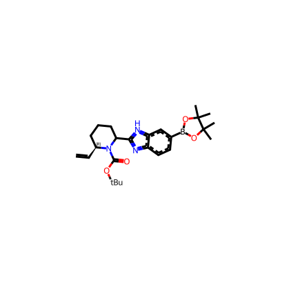 C=C[C@H]1CCCC(c2nc3ccc(B4OC(C)(C)C(C)(C)O4)cc3[nH]2)N1C(=O)OC(C)(C)C